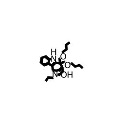 CCCCOCC1(COCCCC)c2[nH]c3ccccc3c2C2CC(O)C1CCN2CCC